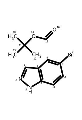 Brc1ccc2[nH]ncc2c1.CC(C)(C)OC=O